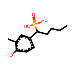 CCCCC(c1ccc(O)c(C)c1)P(=O)(O)O